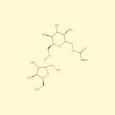 CCCCCCCCCC(=O)OCC1O[C@@H](COC[C@]2(CO)O[C@@H](CO)[C@@H](O)C2O)[C@@H](O)C(O)[C@H]1O